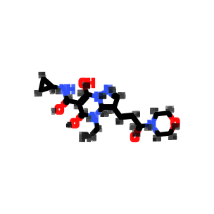 CC(C)Cn1c(=O)c(C(=O)NC2CC2)c(O)n2ncc(C=CC(=O)N3CCOCC3)c12